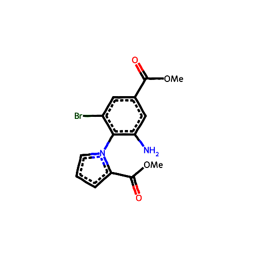 COC(=O)c1cc(N)c(-n2cccc2C(=O)OC)c(Br)c1